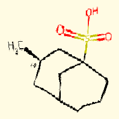 C[C@@H]1CC2CCCC(S(=O)(=O)O)(C2)C1